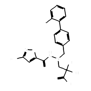 CC(O)(CN(Cc1ccc(-c2ccccc2Cl)cc1)NC(=O)c1cc(O)no1)C(=O)O